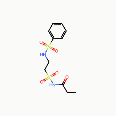 CCC(=O)NS(=O)(=O)CCNS(=O)(=O)c1ccccc1